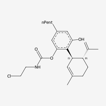 C=C(C)[C@@H]1CCC(C)=C[C@H]1c1c(O)cc(CCCCC)cc1OC(=O)NCCCl